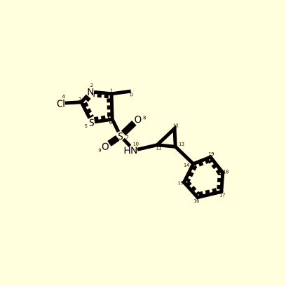 Cc1nc(Cl)sc1S(=O)(=O)NC1CC1c1ccccc1